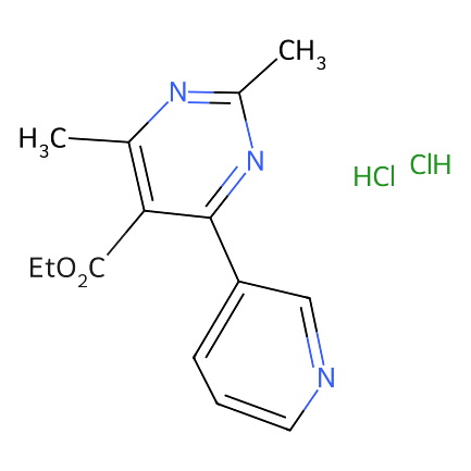 CCOC(=O)c1c(C)nc(C)nc1-c1cccnc1.Cl.Cl